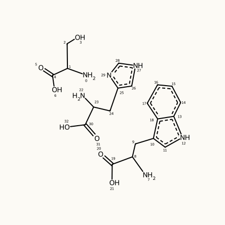 NC(CO)C(=O)O.NC(Cc1c[nH]c2ccccc12)C(=O)O.NC(Cc1c[nH]cn1)C(=O)O